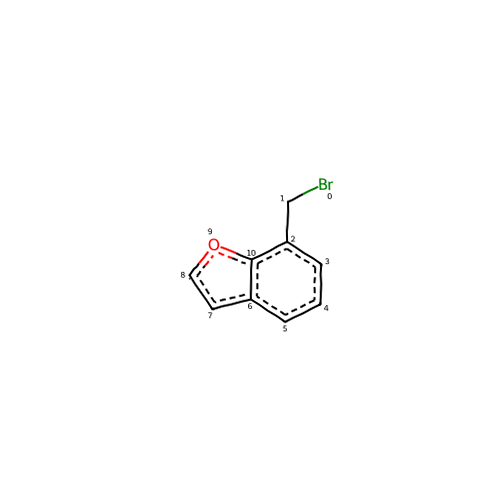 BrCc1cccc2c[c]oc12